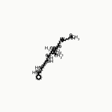 CC(=O)NCCCCc1cn(CCCC(=O)CCC(=O)Oc2c(C(C)C)cc(CCC(=O)NCC(O)COCCOCC(O)CNCC(O)C3CCCCCCC3)cc2C(C)C)nn1